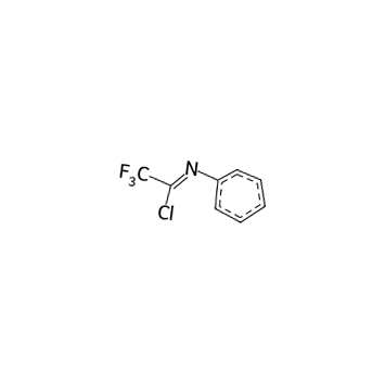 FC(F)(F)/C(Cl)=N/c1ccccc1